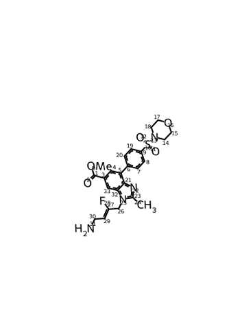 COC(=O)c1cc(-c2ccc(S(=O)(=O)N3CCOCC3)cc2)c2nc(C)n(C/C(F)=C/CN)c2c1